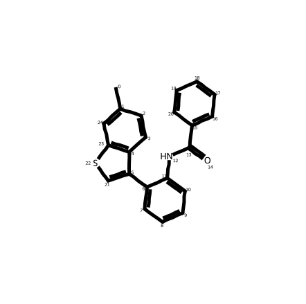 Cc1ccc2c(-c3ccccc3NC(=O)c3ccccc3)csc2c1